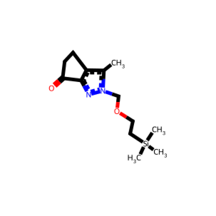 Cc1c2c(nn1COCC[Si](C)(C)C)C(=O)CC2